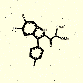 COC(SC)C(=O)c1[nH]c2cc(F)c(F)cc2c1-c1ccc(F)cc1